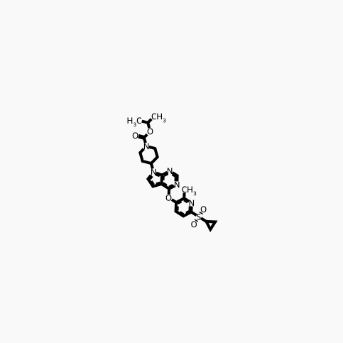 Cc1nc(S(=O)(=O)C2CC2)ccc1Oc1ncnc2c1ccn2C1CCN(C(=O)OC(C)C)CC1